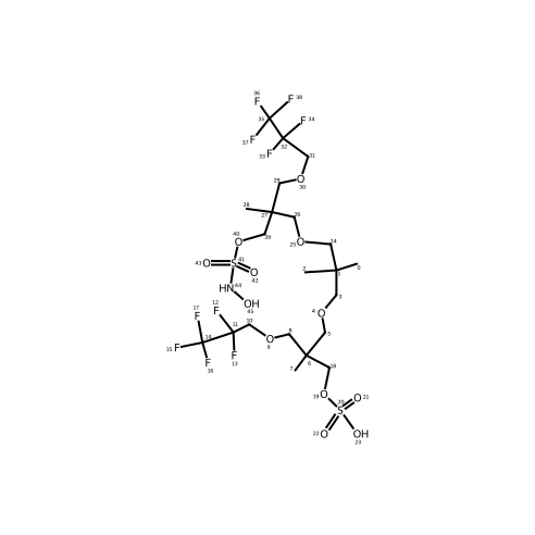 CC(C)(COCC(C)(COCC(F)(F)C(F)(F)F)COS(=O)(=O)O)COCC(C)(COCC(F)(F)C(F)(F)F)COS(=O)(=O)NO